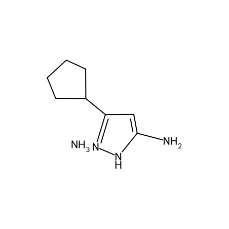 N.Nc1cc(C2CCCC2)n[nH]1